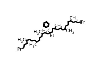 CCC(C)(CCC(C)CCCC(C)CCCC(C)CCCC(C)C)CCC(C)CCCC(C)CCCC(C)CCCC(C)C.c1ccccc1